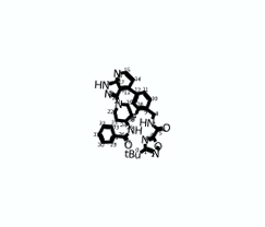 CC(C)(C)c1noc(C(=O)NCc2ccc(-c3ccnc4[nH]nc(N5CCC(NC(=O)c6ccccc6)CC5)c34)cc2F)n1